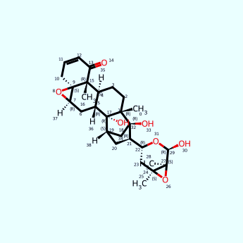 C[C@]12CC[C@H]3[C@@H](C[C@H]4O[C@]45CC=CC(=O)[C@]35C)[C@]1(O)[C@H]1C[C@H]([C@H]3C[C@]4(C)O[C@]4(C)[C@H](O)O3)[C@]2(O)C1